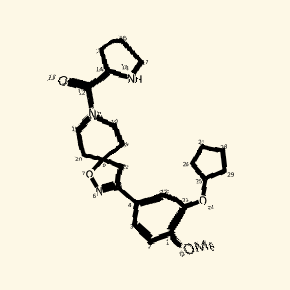 COc1ccc(C2=NOC3(CCN(C(=O)C4CCCN4)CC3)C2)cc1OC1CCCC1